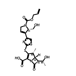 C=CCOC(=O)N1CC=C(c2csc(SC3=C(C(=O)O)N4C(=O)[C@H]([C@@H](C)O)[C@H]4[C@H]3C)n2)[C@H]1CO